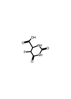 O=C1NC(=O)C(F)C(C(=O)O)N1